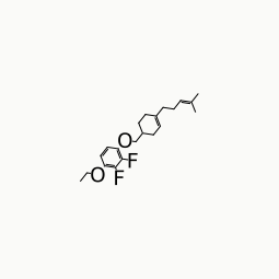 CCOc1ccc(OCC2CC=C(CCC=C(C)C)CC2)c(F)c1F